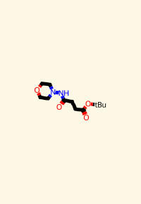 CC(C)(C)OC(=O)CCC(=O)NN1CCOCC1